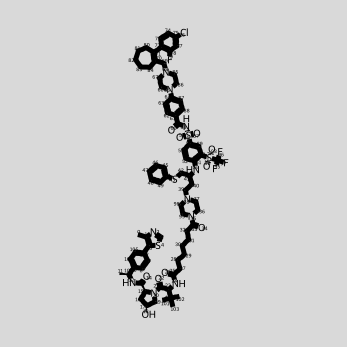 Cc1ncsc1-c1ccc([C@H](C)NC(=O)[C@@H]2C[C@@H](O)CN2C(=O)C(NC(=O)CCCCCCC(=O)N2CCN(CCC(CSc3ccccc3)Nc3ccc(S(=O)(=O)NC(=O)c4ccc(N5CCN(CC6=C(c7ccc(Cl)cc7F)CCCCC6)CC5)cc4)cc3S(=O)(=O)C(F)(F)F)CC2)C(C)(C)C)cc1